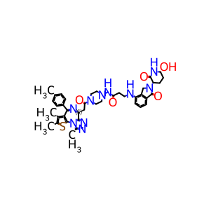 Cc1ccc(C2=N[C@@H](CC(=O)N3CCN(NC(=O)CCNc4cccc5c4CN(C4CCC(O)NC4=O)C5=O)CC3)c3nnc(C)n3-c3sc(C)c(C)c32)cc1